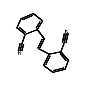 N#Cc1ccccc1C=Cc1ccccc1C#N